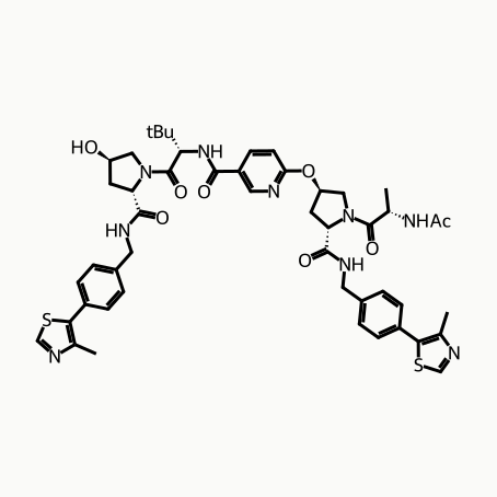 CC(=O)N[C@@H](C)C(=O)N1C[C@H](Oc2ccc(C(=O)N[C@H](C(=O)N3C[C@H](O)C[C@H]3C(=O)NCc3ccc(-c4scnc4C)cc3)C(C)(C)C)cn2)C[C@H]1C(=O)NCc1ccc(-c2scnc2C)cc1